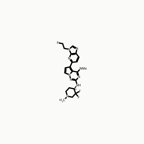 CNc1nc(N[C@@H]2CCN(C)CC2(F)F)nn2ccc(-c3ccc4ncn(CCF)c4n3)c12